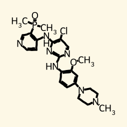 COc1cc(N2CCN(C)CC2)ccc1Nc1ncc(Cl)c(Nc2ccncc2P(C)(C)=O)n1